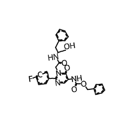 O=C(Cn1c(-c2ccc(F)cc2)ncc(NC(=O)OCc2ccccc2)c1=O)NC(CO)Cc1ccccc1